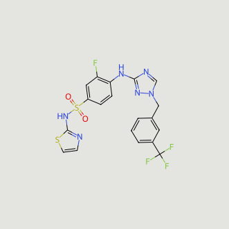 O=S(=O)(Nc1nccs1)c1ccc(Nc2ncn(Cc3cccc(C(F)(F)F)c3)n2)c(F)c1